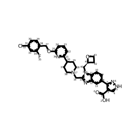 O=C(O)c1c[nH]nc1-c1ccc2c(c1)nc(CN1CCC(c3cccc(OCc4ccc(Cl)cc4F)n3)CC1)n2C[C@@H]1CCO1